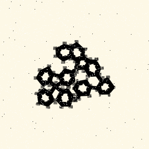 Brc1cccc(-c2ccccc2-c2ccc3c4ccc5ccccc5c4n(-c4ccc5c(c4)-c4ccccc4C5(c4ccccc4)c4ccccc4)c3c2)c1